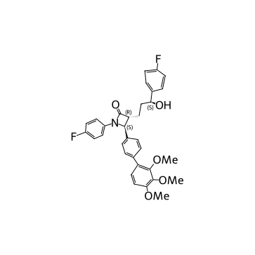 COc1ccc(-c2ccc([C@@H]3[C@@H](CC[C@H](O)c4ccc(F)cc4)C(=O)N3c3ccc(F)cc3)cc2)c(OC)c1OC